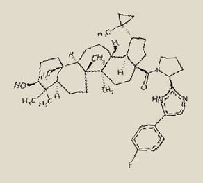 CC1([C@@H]2CC[C@]3(C(=O)N4CCC[C@H]4c4ncc(-c5ccc(F)cc5)[nH]4)CC[C@]4(C)[C@H](CC[C@@H]5[C@@]6(C)CC[C@H](O)C(C)(C)[C@@H]6CC[C@]54C)[C@@H]23)CC1